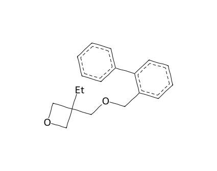 CCC1(COCc2ccccc2-c2ccccc2)COC1